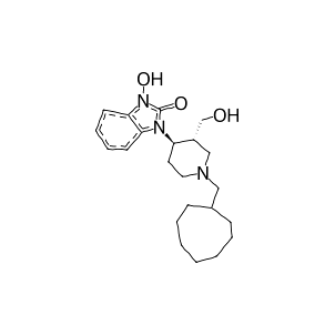 O=c1n(O)c2ccccc2n1[C@@H]1CCN(CC2CCCCCCC2)C[C@H]1CO